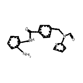 Nc1ccccc1NC(=O)c1ccc(CN(C=O)c2cccs2)cc1